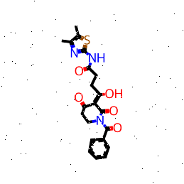 Cc1nc(NC(=O)CC/C(O)=C2\C(=O)CCN(C(=O)c3ccccc3)C2=O)sc1C